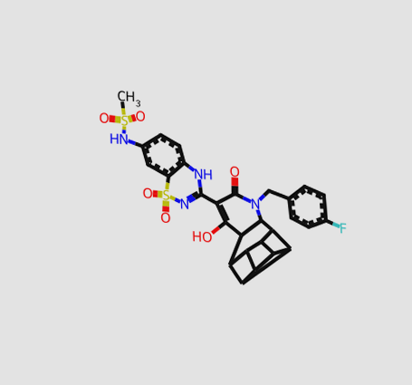 CS(=O)(=O)Nc1ccc2c(c1)S(=O)(=O)N=C(C1=C(O)C3C4C5C6C4C4C6C5C4C3N(Cc3ccc(F)cc3)C1=O)N2